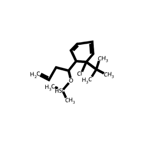 C=CCC(O[SiH](C)C)C1C=CC=CC1(Cl)C(C)(C)C